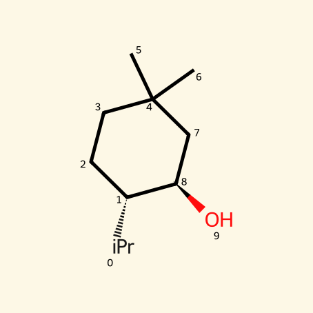 CC(C)[C@@H]1CCC(C)(C)C[C@H]1O